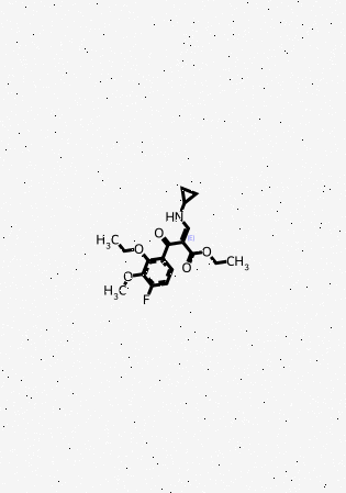 CCOC(=O)/C(=C/NC1CC1)C(=O)c1ccc(F)c(OC)c1OCC